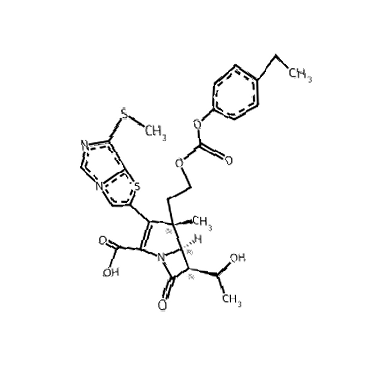 CCc1ccc(OC(=O)OCC[C@@]2(C)C(c3cn4cnc(SC)c4s3)=C(C(=O)O)N3C(=O)[C@H](C(C)O)[C@@H]32)cc1